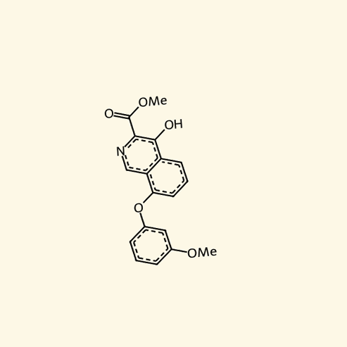 COC(=O)c1ncc2c(Oc3cccc(OC)c3)cccc2c1O